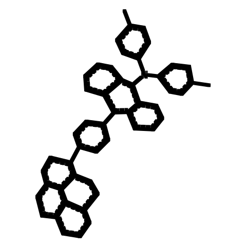 Cc1ccc(N(c2ccc(C)cc2)c2c3ccccc3c(-c3ccc(-c4ccc5ccc6cccc7ccc4c5c67)cc3)c3ccccc23)cc1